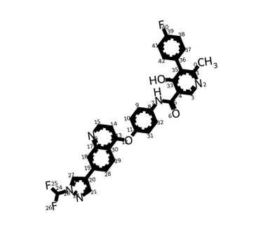 Cc1ncc(C(=O)Nc2ccc(Oc3ccnc4cc(-c5cnn(C(F)F)c5)ccc34)cc2)c(O)c1-c1ccc(F)cc1